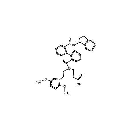 COc1ccc(OC)c(CCN(CCC(=O)O)C(=O)c2ccccc2-c2ccccc2C(=O)NC2CCc3ccccc32)c1